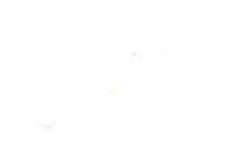 COc1ccc(CSc2ccc(C3CCCCC3)nc2)cc1